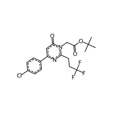 CC(C)(C)OC(=O)Cn1c(CCC(F)(F)F)nc(-c2ccc(Cl)cc2)cc1=O